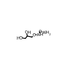 OCC(O)C[O][AlH][O][AlH2]